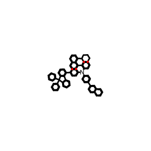 c1ccc(C2(c3ccccc3)c3ccccc3-c3c(-c4ccc(N(c5ccc(-c6ccc7ccccc7c6)cc5)c5ccccc5-c5cccc6cccc(C7CCCCC7)c56)cc4)cccc32)cc1